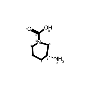 N[C@@H]1CCCN(C(=O)O)C1